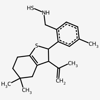 C=C(C)C1C2=C(CCC(C)(C)C2)SC1c1cc(C)ccc1CNS